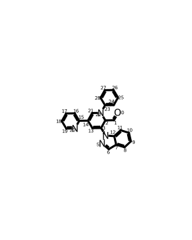 O=CC1C(n2ncc3ccccc32)=CC(c2ccccn2)=CN1c1ccccc1